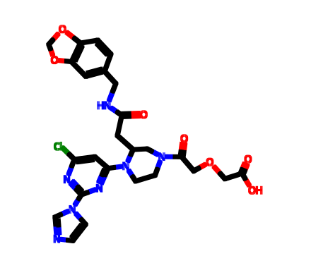 O=C(O)COCC(=O)N1CCN(c2cc(Cl)nc(-n3ccnc3)n2)C(CC(=O)NCc2ccc3c(c2)OCO3)C1